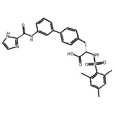 Cc1cc(C)c(S(=O)(=O)N[C@@H](Cc2ccc(-c3cccc(NC(=O)c4ncc[nH]4)c3)cc2)C(=O)O)c(C)c1